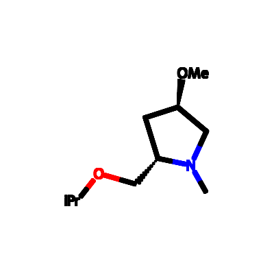 CO[C@@H]1C[C@@H](COC(C)C)N(C)C1